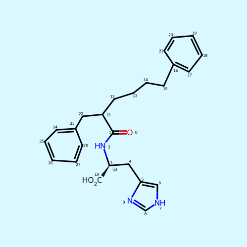 O=C(N[C@@H](Cc1c[nH]cn1)C(=O)O)C(CCCCc1ccccc1)Cc1ccccc1